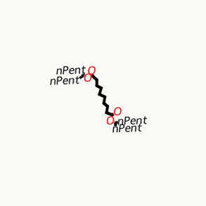 CCCCCC(CCCCC)OC(=O)CCCCCCCCC(=O)OC(CCCCC)CCCCC